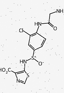 NCC(=O)Nc1ccc([S+]([O-])Nc2scnc2C(=O)O)cc1Cl